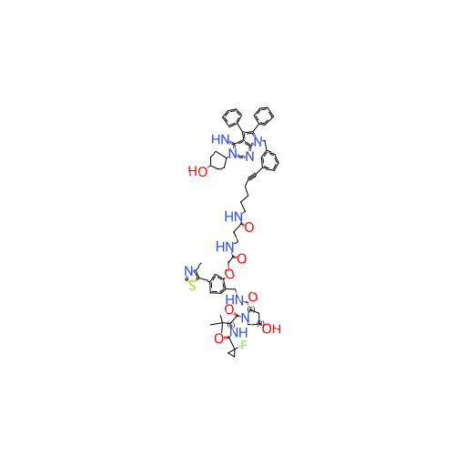 Cc1ncsc1-c1ccc(CNC(=O)[C@@H]2C[C@@H](O)CN2C(=O)[C@@H](NC(=O)C2(F)CC2)C(C)(C)C)c(OCC(=O)NCCC(=O)NCCCCC#Cc2cccc(Cn3c(-c4ccccc4)c(-c4ccccc4)c4c(=N)n(C5CCC(O)CC5)cnc43)c2)c1